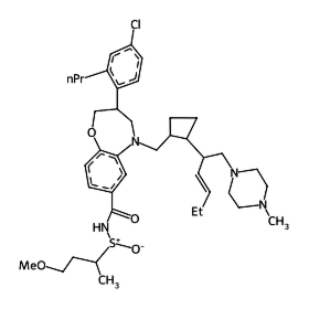 CC/C=C/C(CN1CCN(C)CC1)C1CCC1CN1CC(c2ccc(Cl)cc2CCC)COc2ccc(C(=O)N[S+]([O-])C(C)CCOC)cc21